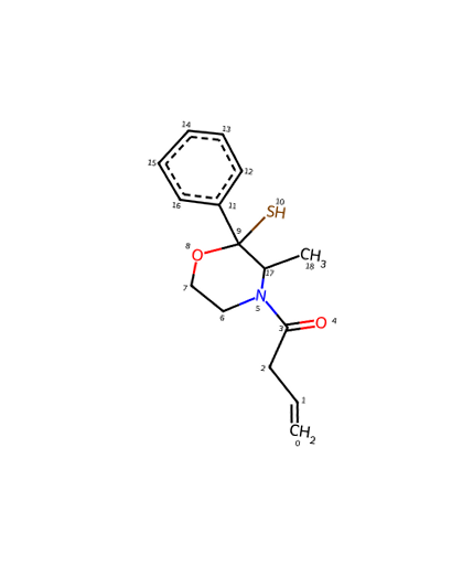 C=CCC(=O)N1CCOC(S)(c2ccccc2)C1C